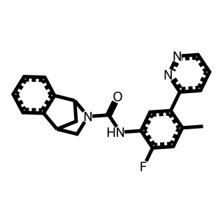 Cc1cc(F)c(NC(=O)N2CC3CC2c2ccccc23)cc1-c1cccnn1